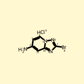 Cl.Nc1ccn2nc(Br)nc2c1